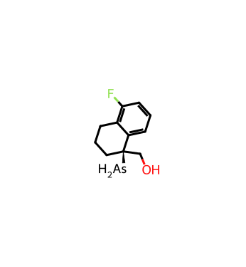 OC[C@]1([AsH2])CCCc2c(F)cccc21